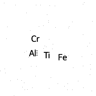 [Al].[Cr].[Fe].[Ti]